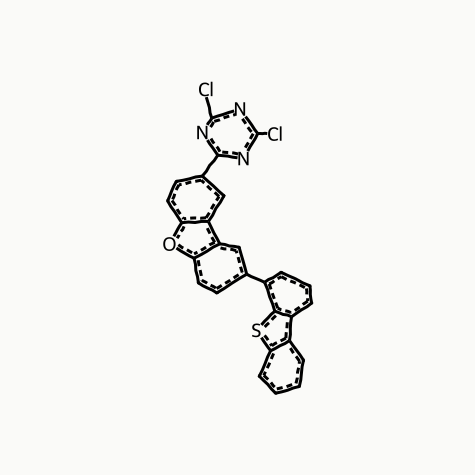 Clc1nc(Cl)nc(-c2ccc3oc4ccc(-c5cccc6c5sc5ccccc56)cc4c3c2)n1